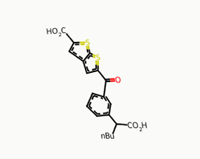 CCCCC(C(=O)O)c1cccc(C(=O)c2cc3cc(C(=O)O)sc3s2)c1